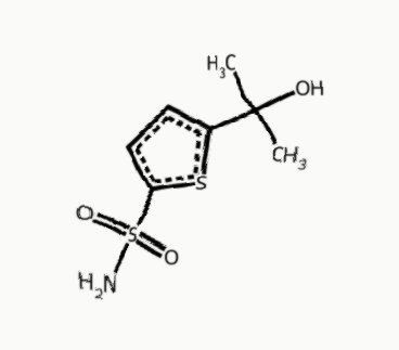 CC(C)(O)c1ccc(S(N)(=O)=O)s1